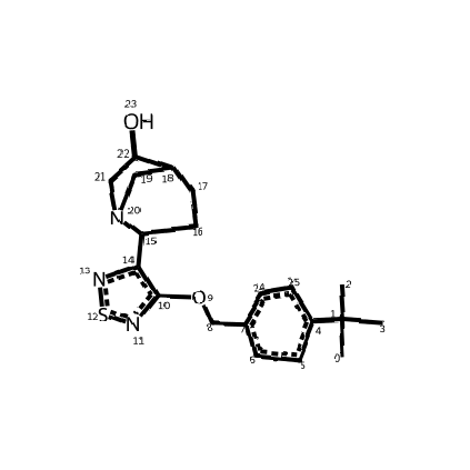 CC(C)(C)c1ccc(COc2nsnc2C2CCC3CN2CC3O)cc1